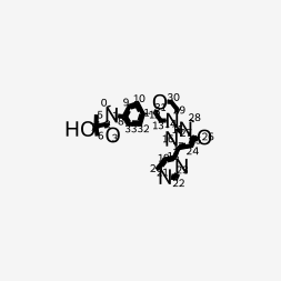 CN(C(=O)C(C)(C)O)c1ccc([C@H]2CN(c3nc(-c4ccncn4)cc(=O)n3C)CCO2)cc1